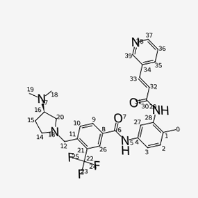 Cc1ccc(NC(=O)c2ccc(CN3CC[C@@H](N(C)C)C3)c(C(F)(F)F)c2)cc1NC(=O)/C=C/c1cccnc1